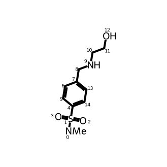 CNS(=O)(=O)c1ccc(CNCCO)cc1